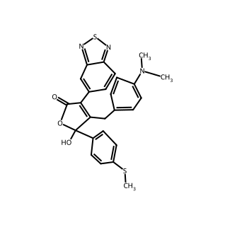 CSc1ccc(C2(O)OC(=O)C(c3ccc4nsnc4c3)=C2Cc2ccc(N(C)C)cc2)cc1